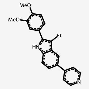 CCc1c(-c2ccc(OC)c(OC)c2)[nH]c2ccc(-c3ccncc3)cc12